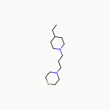 C[CH]C1CCN(CCCN2CCSCC2)CC1